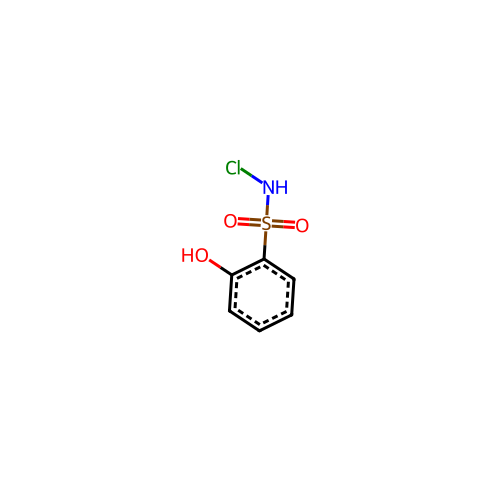 O=S(=O)(NCl)c1ccccc1O